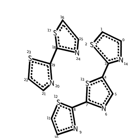 c1csc(-c2cnc(-c3nccs3)s2)n1.c1csc(-c2nccs2)n1